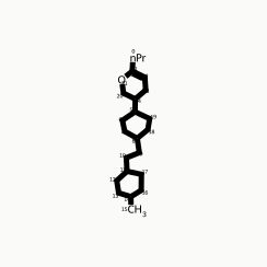 CCCC1=CCC(C2CCC(CCC3CCC(C)CC3)CC2)CO1